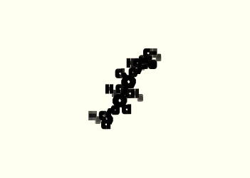 CCS(=O)(=O)C[C@H](O)COc1ccc(C(C)(C)c2ccc(OC[C@@H](C)CCl)c(Cl)c2)cc1Cl